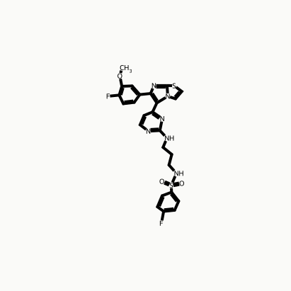 COc1cc(-c2nc3sccn3c2-c2ccnc(NCCCNS(=O)(=O)c3ccc(F)cc3)n2)ccc1F